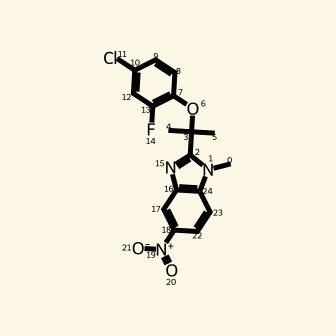 Cn1c(C(C)(C)Oc2ccc(Cl)cc2F)nc2cc([N+](=O)[O-])ccc21